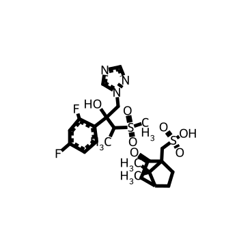 CC(C(O)(Cn1cncn1)c1ccc(F)cc1F)S(C)(=O)=O.CC1(C)C2CCC1(CS(=O)(=O)O)C(=O)C2